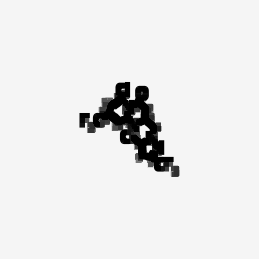 O=c1cc(Cn2nc(C(F)(F)F)cc2Cl)nc2cc(C(F)(F)F)cc(Cl)n12